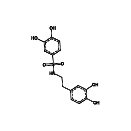 O=S(=O)(NCCc1ccc(O)c(O)c1)c1ccc(O)c(O)c1